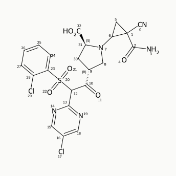 N#CC1(C(N)=O)CC1N1C[C@H](C(=O)C(c2ncc(Cl)cn2)S(=O)(=O)c2ccccc2Cl)C[C@H]1C(=O)O